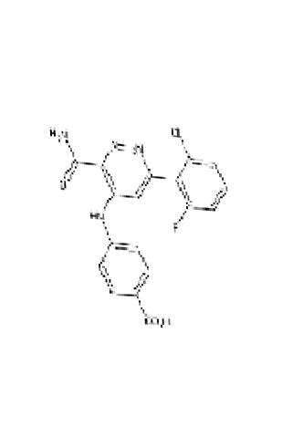 NC(=O)c1nnc(-c2c(F)cccc2Cl)cc1Nc1ccc(C(=O)O)cc1